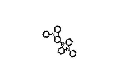 c1ccc(N2c3ccccc3B(c3ccc4c(c3)c3ccccc3n4-c3ccccc3)c3ccccc32)cc1